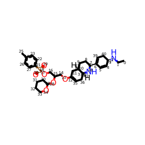 CCN[C@@H]1C=CC([C@@H]2CC[C@@H]3CC(OCC(COS(=O)(=O)c4ccc(C)cc4)OC4CCCCO4)=CC[C@@H]3N2)=CC1